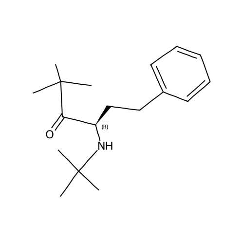 CC(C)(C)N[C@H](CCc1ccccc1)C(=O)C(C)(C)C